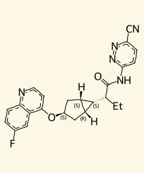 CCC(C(=O)Nc1ccc(C#N)nn1)[C@@H]1[C@@H]2C[C@@H](Oc3ccnc4ccc(F)cc34)C[C@@H]21